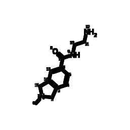 CN1Cc2ccc(C(=O)NCCN)cc2C1